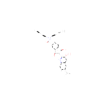 C#CC#CN(C#CC#C)C(=O)c1ccc2c(c1)C(=O)C(c1nc3ccc(C(C)C)cc3cc1O)C2=O